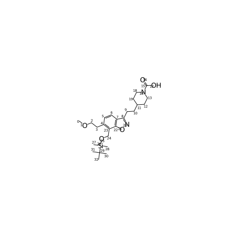 COCCc1ccc2c(CCC3CCN(C(=O)O)CC3)noc2c1CO[Si](C)(C)C(C)(C)C